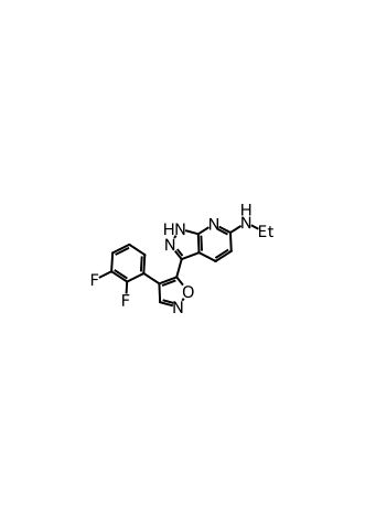 CCNc1ccc2c(-c3oncc3-c3cccc(F)c3F)n[nH]c2n1